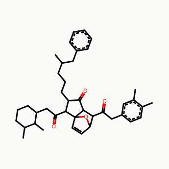 Cc1ccc(CC(=O)C2C3C=CC4(O3)C(C(=O)CC3CCCC(C)C3C)C(CCCC(C)Cc3ccccc3)C(=O)C24)cc1C